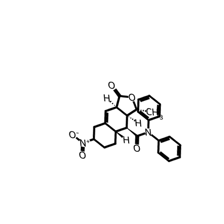 C[C@H]1OC(=O)[C@@H]2C=C3CC([N+](=O)[O-])CC[C@H]3[C@H](C(=O)N(c3ccccc3)c3ccccc3)[C@H]12